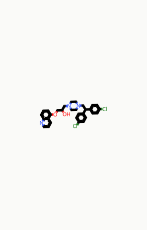 OC(COc1cccc2ncccc12)CN1CCN(CC(c2ccc(Cl)cc2)c2ccc(Cl)cc2)CC1